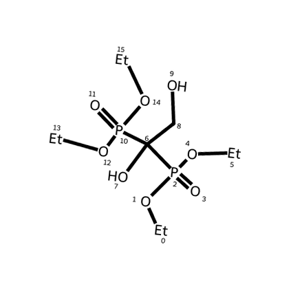 CCOP(=O)(OCC)C(O)(CO)P(=O)(OCC)OCC